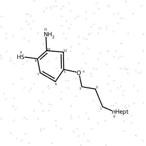 CCCCCCCCCCOc1ccc(S)c(N)c1